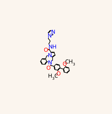 COc1ccccc1-c1ccc(C(=O)N2Cc3ccc(C(=O)NCCCn4ccnc4)n3Cc3ccccc32)cc1OC